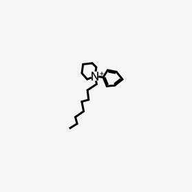 CCCCCCCC[N+]1(c2ccccc2)CCCCC1